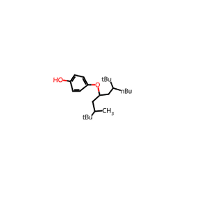 CCCCC(CC(CC(C)C(C)(C)C)Oc1ccc(O)cc1)C(C)(C)C